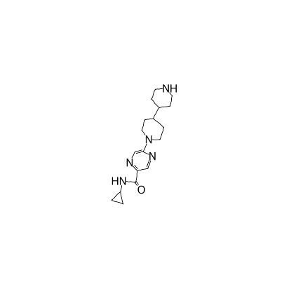 O=C(NC1CC1)c1cnc(N2CCC(C3CCNCC3)CC2)cn1